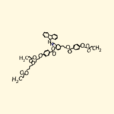 C=CC(=O)OCCCCOCC(COc1ccc(C(=O)Oc2ccc(CCOC(=O)c3ccc(OCOC(=O)C=C)cc3)cc2/C=N/N=C2C3C=CC=CC3C3C=CC=CC23)cc1)OC(=O)C=C